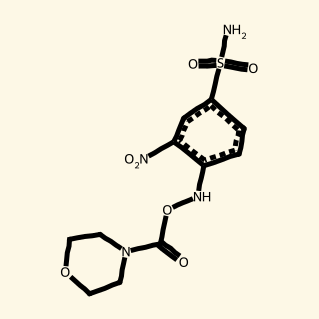 NS(=O)(=O)c1ccc(NOC(=O)N2CCOCC2)c([N+](=O)[O-])c1